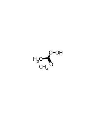 C.CC(=O)OO